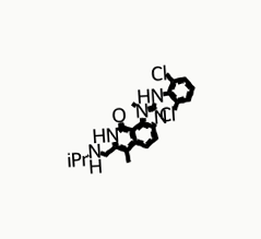 Cc1c(CNC(C)C)[nH]c(=O)c2c1ccc1nc(Nc3c(Cl)cccc3Cl)n(C)c12